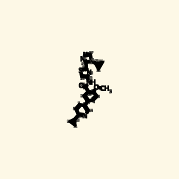 COc1ccc(-c2ccc(C3CC3)nc2)cc1C(=O)Nc1csc(-c2nncn2C2CC2)n1